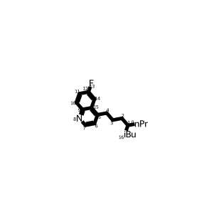 CCCC(CCCc1ccnc2ccc(F)cc12)C(C)CC